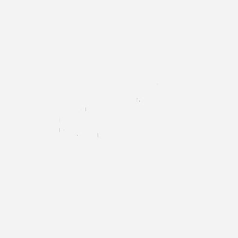 CC(C)(C)OC(=O)Nc1cc2c(B3OC(C)(C)C(C)(C)O3)ccc(F)c2s1